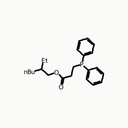 CCCCC(CC)COC(=O)CCP(c1ccccc1)c1ccccc1